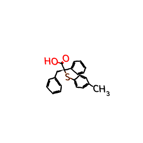 Cc1ccc(S[C@](Cc2ccccc2)(C(=O)O)c2ccccc2)cc1